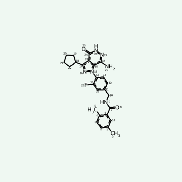 Cc1ccc(C)c(C(=O)NCc2ccc(-n3nc(C4CCCC4)c4c(=O)[nH]nc(N)c43)c(F)c2)c1